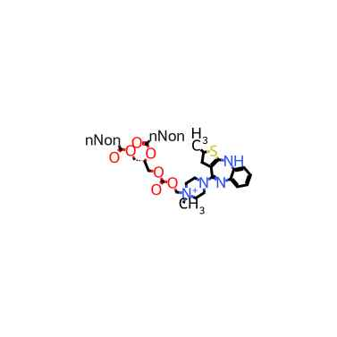 CCCCCCCCCC(=O)OC[C@@H](COC(=O)OC[N+]1(C)CCN(C2=Nc3ccccc3NC3=C2CC(C)S3)CC1)OC(=O)CCCCCCCCC